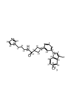 Cc1cn(-c2cccc(N3CC(C(=O)NCCCn4ccnc4)C3)c2)c2ccc(C(F)(F)F)cc12